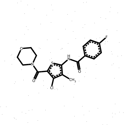 Cc1c(NC(=O)c2ccc(F)cc2)sc(C(=O)N2CCOCC2)c1Cl